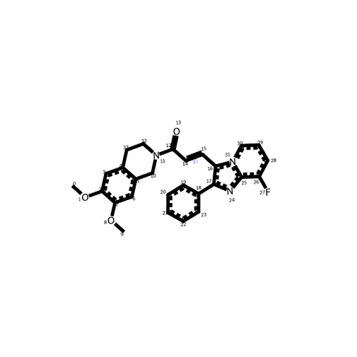 COc1cc2c(cc1OC)CN(C(=O)/C=C/c1c(-c3ccccc3)nc3c(F)cccn13)CC2